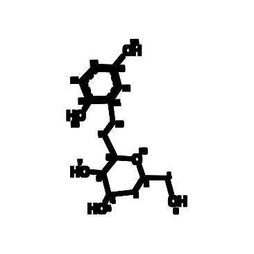 OCC1CC(O)C(O)C(CCc2cc(O)ccc2O)O1